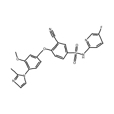 COc1cc(Oc2ccc(S(=O)(=O)Nc3ccc(F)cn3)cc2C#N)ccc1-n1ccnc1C